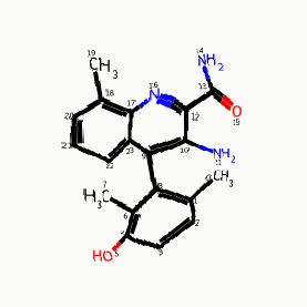 Cc1ccc(O)c(C)c1-c1c(N)c(C(N)=O)nc2c(C)cccc12